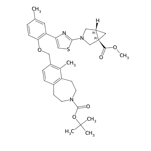 COC(=O)[C@]12C[C@H]1CN(c1nc(-c3cc(C)ccc3OCc3ccc4c(c3C)CCN(C(=O)OC(C)(C)C)CC4)cs1)C2